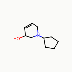 OC1C=CCN(C2CCCC2)C1